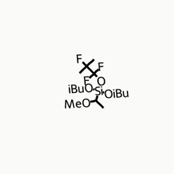 COC(C)[Si](OCC(C)C)(OCC(C)C)OC(F)(F)C(C)(C)F